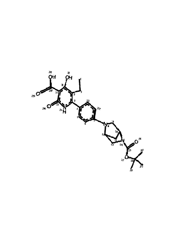 CCc1c(-c2ccc(N3CC4CC3CN4C(=O)OC(C)(C)C)cc2)[nH]c(=O)c(C(=O)O)c1O